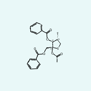 CC(=O)O[C@@]1(COC(=O)c2ccccc2)SC[C@@H](F)[C@@H]1OC(=O)c1ccccc1